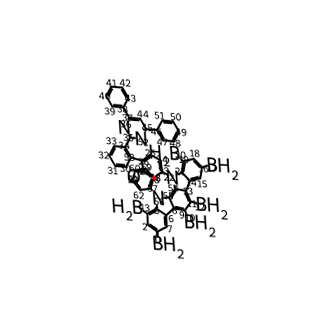 Bc1cc(B)c2c(c1)c1c(B)c(B)c3c4cc(B)cc(B)c4n(-c4ccc5c(c4)oc4cccc(-c6nc(-c7ccccc7)cc(-c7ccccc7)n6)c45)c3c1n2-c1ccccc1